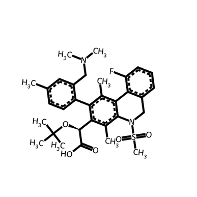 Cc1ccc(-c2c(C)c3c(c(C)c2[C@H](OC(C)(C)C)C(=O)O)N(S(C)(=O)=O)Cc2cccc(F)c2-3)c(CN(C)C)c1